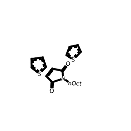 CCCCCCCCN1C(=O)C=CC1=O.c1ccsc1.c1ccsc1